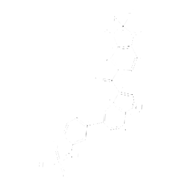 CS(=O)(=O)Nc1cccc(-c2cnc3[nH]cc(C(=O)c4ccc5c(c4)OC(F)(F)O5)c3c2)c1